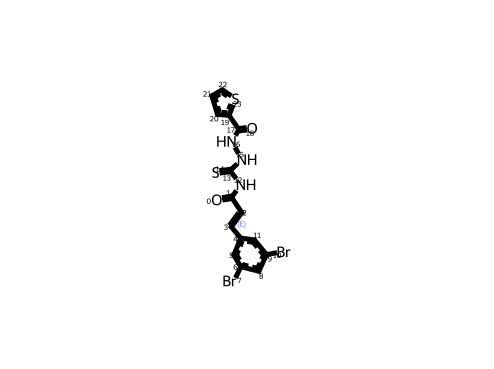 O=C(/C=C/c1cc(Br)cc(Br)c1)NC(=S)NNC(=O)c1cccs1